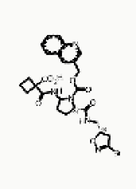 O=C(NC[C@@H]1CC(Br)=NO1)[C@@H]1CCC(NC(=O)C2(C(=O)O)CCC2)N1C(=O)OCc1cnc2ccccc2c1